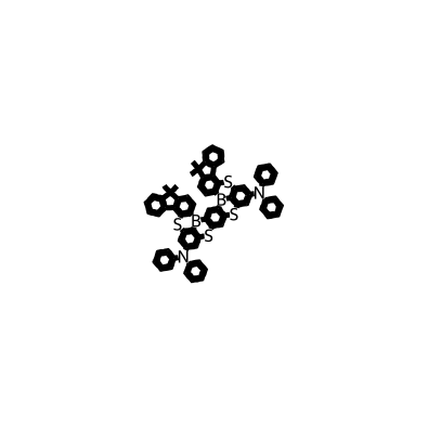 CC1(C)c2ccccc2-c2c1ccc1c2Sc2cc(N(c3ccccc3)c3ccccc3)cc3c2B1c1cc2c(cc1S3)Sc1cc(N(c3ccccc3)c3ccccc3)cc3c1B2c1ccc2c(c1S3)-c1ccccc1C2(C)C